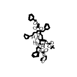 CC(C)(C)OC(=O)NCC(CC(=O)C(CCCCc1ccccc1)(Cc1ccccc1)OC(=O)COCc1ccccc1)C(N)C(=O)NC(Cc1ccccc1)C(=O)NC(=O)N1CCOCC1